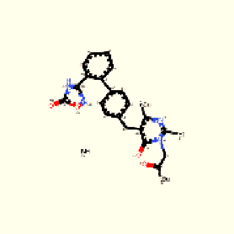 CCCCc1nc(CC)n(CC(=O)C(C)(C)C)c(=O)c1Cc1ccc(-c2ccccc2-c2noc(=O)[nH]2)cc1.[KH]